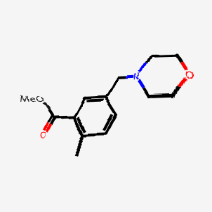 COC(=O)c1cc(CN2CCOCC2)ccc1C